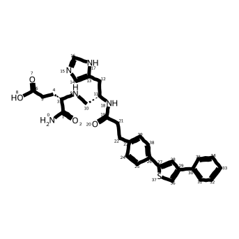 NC(=O)[C@H](CCC(=O)O)NC[C@H](Cc1cnc[nH]1)NC(=O)CCc1ccc(-c2cc(-c3ccccc3)cs2)cc1